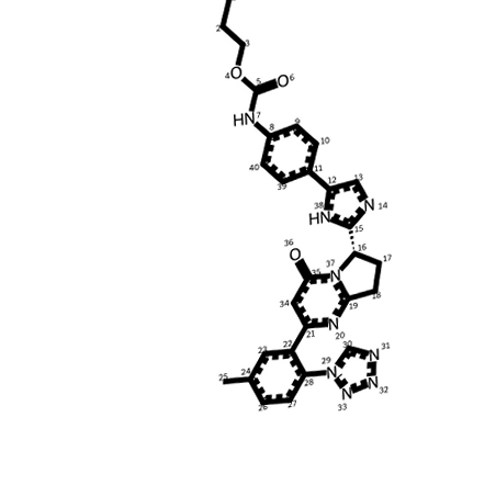 COCCCOC(=O)Nc1ccc(-c2cnc([C@@H]3CCc4nc(-c5cc(C)ccc5-n5cnnn5)cc(=O)n43)[nH]2)cc1